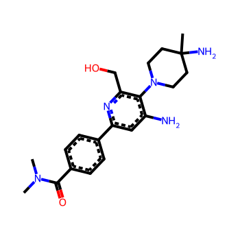 CN(C)C(=O)c1ccc(-c2cc(N)c(N3CCC(C)(N)CC3)c(CO)n2)cc1